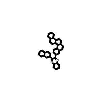 c1ccc2cc(-c3nc4ccccc4nc3-c3ccc4c(ccc5ccc6c7ccccc7ccc6c54)c3)ccc2c1